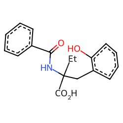 CCC(Cc1ccccc1O)(NC(=O)c1ccccc1)C(=O)O